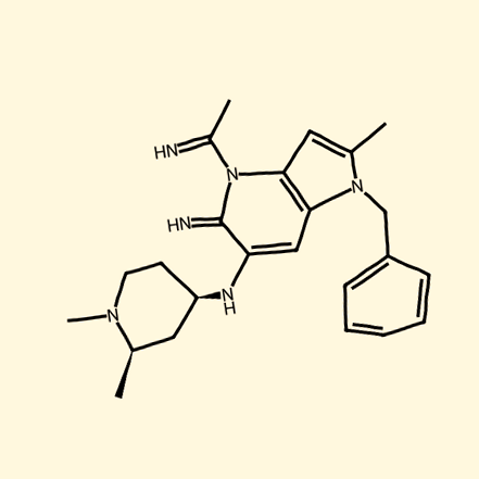 CC(=N)n1c(=N)c(N[C@@H]2CCN(C)[C@H](C)C2)cc2c1cc(C)n2Cc1ccccc1